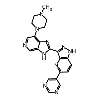 CN1CCN(c2cncc3[nH]c(-c4n[nH]c5ccc(-c6cncnc6)nc45)nc23)CC1